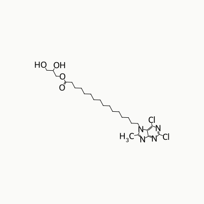 Cc1nc2nc(Cl)nc(Cl)c2n1CCCCCCCCCCCCCCCC(=O)OCC(O)CO